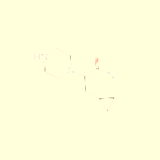 NC(=O)C(CC1CC1)N1CCNCC1